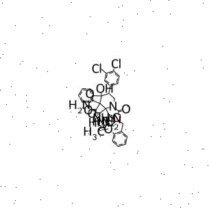 COc1ccccc1CN(C)C(=O)N1CC(c2ccc(Cl)c(Cl)c2)C(O)(c2ccccc2)C(C(N)=O)(C(N)=O)C1(C(N)=O)C(N)=O